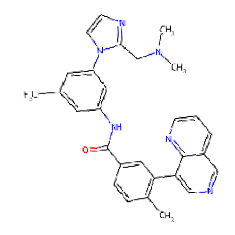 Cc1ccc(C(=O)Nc2cc(-n3ccnc3CN(C)C)cc(C(F)(F)F)c2)cc1-c1cncc2cccnc12